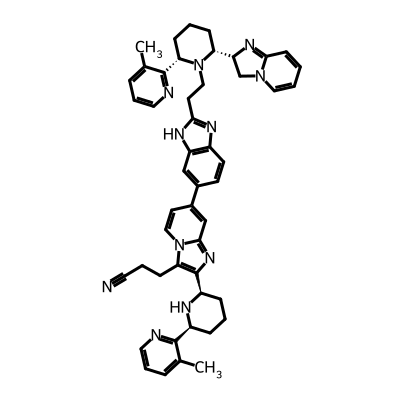 Cc1cccnc1[C@@H]1CCC[C@H](c2nc3cc(-c4ccc5nc(CCN6[C@@H](C7CN8C=CC=CC8=N7)CCC[C@H]6c6ncccc6C)[nH]c5c4)ccn3c2CCC#N)N1